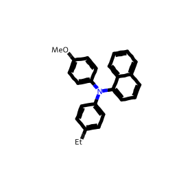 CCc1ccc(N(c2ccc(OC)cc2)c2cccc3ccccc23)cc1